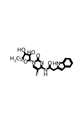 C[C@H]1O[C@@H](n2cc(F)c(NC(=O)Cc3cc4ccccc4[nH]3)nc2=O)C(O)C1O